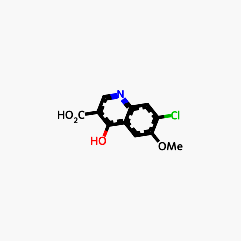 COc1cc2c(O)c(C(=O)O)cnc2cc1Cl